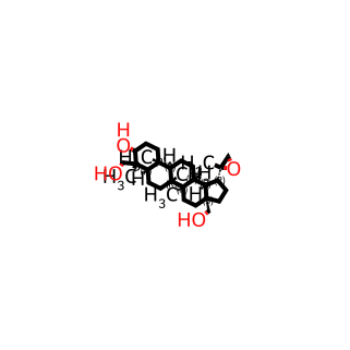 CC1([C@@H]2CC[C@]3(CO)CC[C@]4(C)[C@H](CC[C@@H]5[C@@]6(C)CCC(O)C(C)(CO)[C@@H]6CC[C@]54C)[C@@H]23)CO1